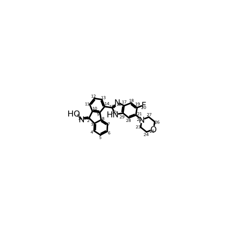 ON=C1c2ccccc2-c2c1cccc2-c1nc2cc(F)c(N3CCOCC3)cc2[nH]1